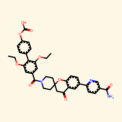 CCOc1cc(C(=O)N2CCC3(CC2)CC(=O)c2cc(-c4ccc(C(N)=O)cn4)ccc2O3)cc(OCC)c1-c1ccc(OC(=O)O)cc1